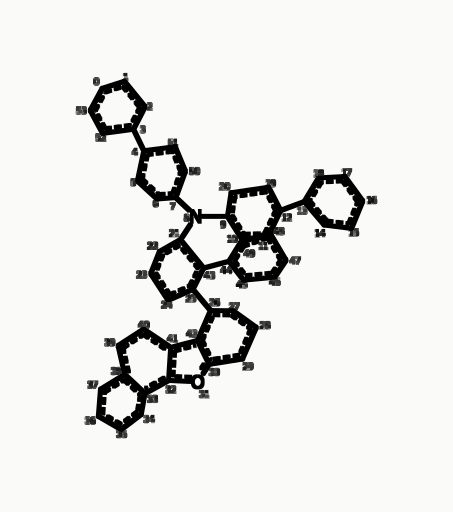 c1ccc(-c2ccc(N(c3ccc(-c4ccccc4)cc3)c3cccc(-c4cccc5oc6c7ccccc7ccc6c45)c3-c3ccccc3)cc2)cc1